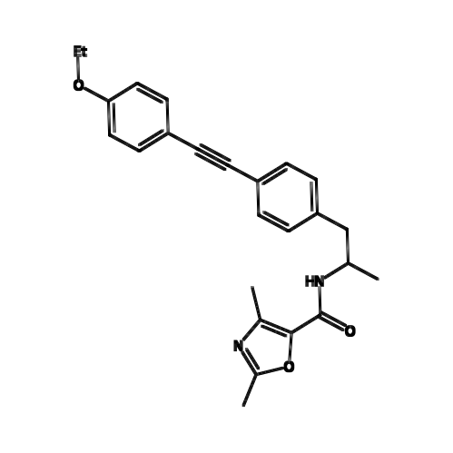 CCOc1ccc(C#Cc2ccc(CC(C)NC(=O)c3oc(C)nc3C)cc2)cc1